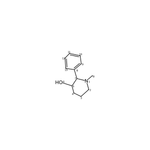 [CH2]N1CCCC(O)C1c1ccccc1